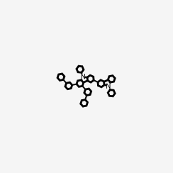 c1ccc(-c2cccc(-c3cc(-c4cccc(-c5ccccc5)c4)c4c5cc(-c6ccc7c(c6)c6ccccc6n7-c6ccccc6)ccc5n(-c5ccccc5)c4c3)c2)cc1